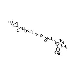 Cc1ncc(C(=O)NCCOCCOCCOCCOCCC(=O)NCCCCn2nc(-c3ccc4[nH]ccc4c3)c3c(N)ncnc32)cn1